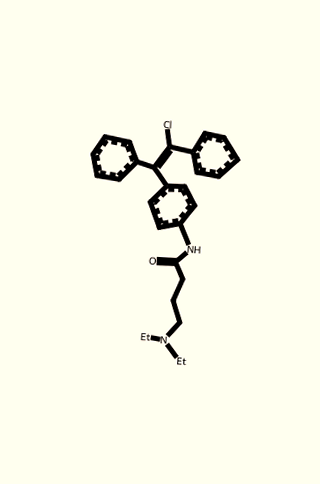 CCN(CC)CCCC(=O)Nc1ccc(/C(=C(/Cl)c2ccccc2)c2ccccc2)cc1